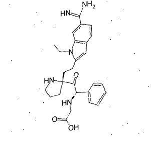 CCn1c(CC[C@@]2(C(=O)[C@H](NCC(=O)O)c3ccccc3)CCCN2)cc2ccc(C(=N)N)cc21